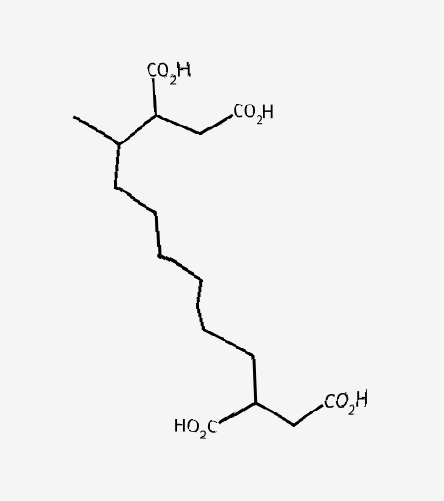 CC(CCCCCCC(CC(=O)O)C(=O)O)C(CC(=O)O)C(=O)O